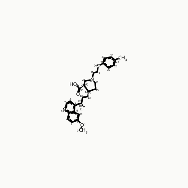 COc1ccc2nccc([C@H](F)CC[C@@H]3CCN(CCSc4ccc(C)cc4)C[C@@H]3C(=O)O)c2c1